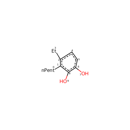 CCCCCc1c(CC)ccc(O)c1O